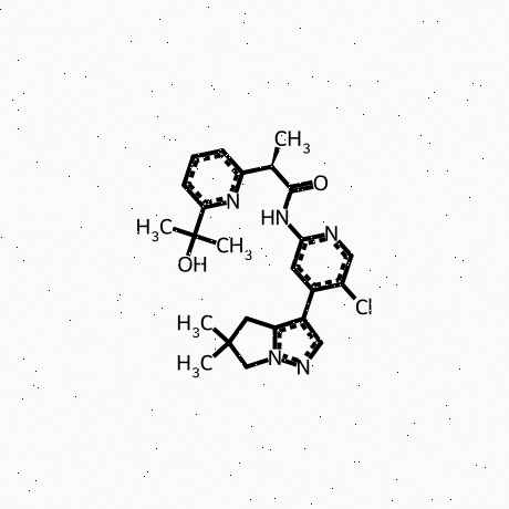 C[C@@H](C(=O)Nc1cc(-c2cnn3c2CC(C)(C)C3)c(Cl)cn1)c1cccc(C(C)(C)O)n1